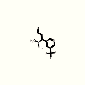 CN(C)C(=CC=O)c1cncc(C(F)(F)F)c1